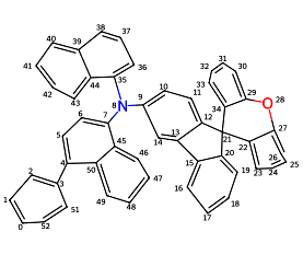 c1ccc(-c2ccc(N(c3ccc4c(c3)-c3ccccc3C43c4ccccc4Oc4ccccc43)c3cccc4ccccc34)c3ccccc23)cc1